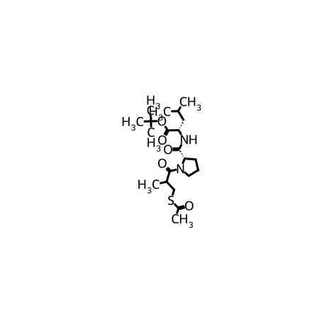 CC(=O)SCC(C)C(=O)N1CCC[C@H]1C(=O)N[C@@H](CC(C)C)C(=O)OC(C)(C)C